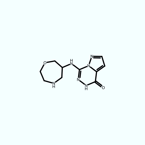 O=c1[nH]nc(NC2CNCCOC2)n2nccc12